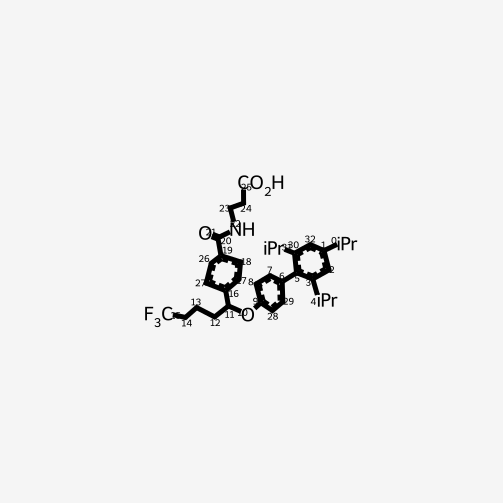 CC(C)c1cc(C(C)C)c(-c2ccc(OC(CCCC(F)(F)F)c3ccc(C(=O)NCCC(=O)O)cc3)cc2)c(C(C)C)c1